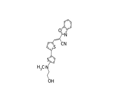 CN(CCO)c1ccc(-c2ccc(/C=C(\C#N)c3nc4ccccc4o3)s2)s1